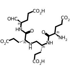 N[C@H](CCC(=O)O)C(=O)N[C@H](CCC(=O)O)CN[C@H](CCC(=O)O)C(=O)N[C@@H](C=O)CCC(=O)O